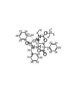 CCN(C(=O)OC(C)(C)C)N(CC[C@H](C(=O)O)c1ccccc1)[C@@H](Cc1ccccc1)C(=O)N(C)Cc1ccccc1